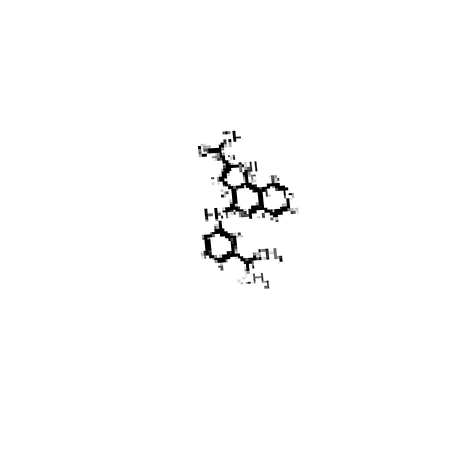 CC(C)c1cccc(Nc2nc3ccncc3c3[nH]c(C(=O)O)cc23)c1